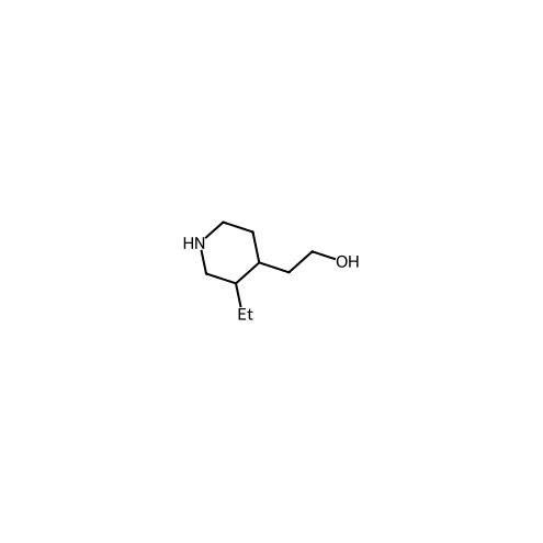 CCC1CNCCC1CCO